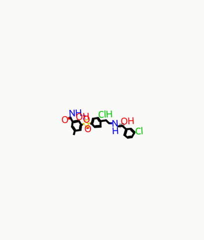 Cc1cc(C(N)=O)c(O)c(S(=O)(=O)c2ccc(CCNC[C@@H](O)c3cccc(Cl)c3)cc2)c1.Cl